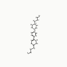 CCCCC1CC=C(c2ccc([C@H]3CC[C@H](CCCC)CC3)cc2)CC1